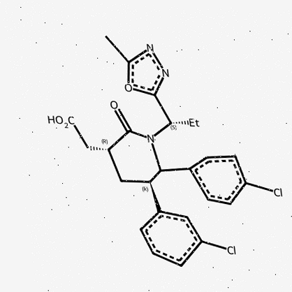 CC[C@@H](c1nnc(C)o1)N1C(=O)[C@@H](CC(=O)O)C[C@H](c2cccc(Cl)c2)C1c1ccc(Cl)cc1